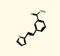 COC(=O)c1cccc(/C=C/c2cccs2)c1